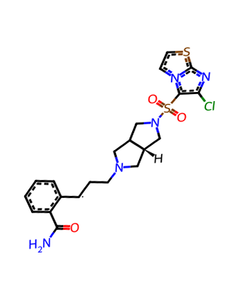 NC(=O)c1ccccc1[CH]CCN1CC2CN(S(=O)(=O)c3c(Cl)nc4sccn34)C[C@@H]2C1